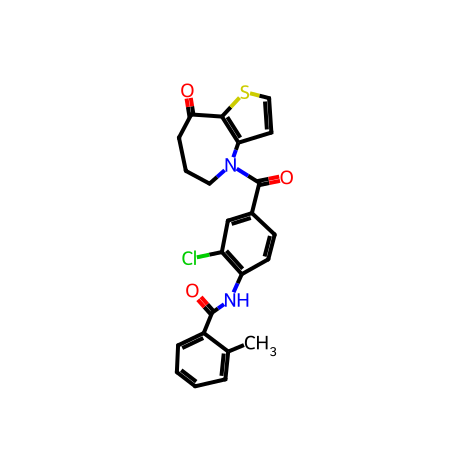 Cc1ccccc1C(=O)Nc1ccc(C(=O)N2CCCC(=O)c3sccc32)cc1Cl